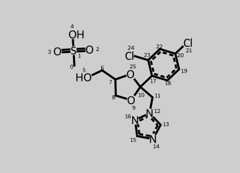 CS(=O)(=O)O.OCC1COC(Cn2cncn2)(c2ccc(Cl)cc2Cl)O1